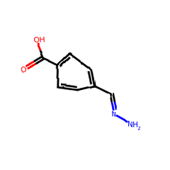 NN=Cc1ccc(C(=O)O)cc1